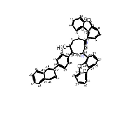 CC1CC/C(c2cccc3oc4ccccc4c23)=N\C(c2cccc3c2oc2ccccc23)=N/C1c1ccc(-c2ccc3ccccc3c2)cc1